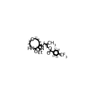 CCc1nn(C[C@@H](C)COC(=O)c2ccc(C(F)(F)F)cc2)c2c1C(=O)NCCCOCCC2